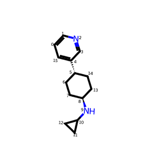 c1cncc([C@H]2CC[C@H](NC3CC3)CC2)c1